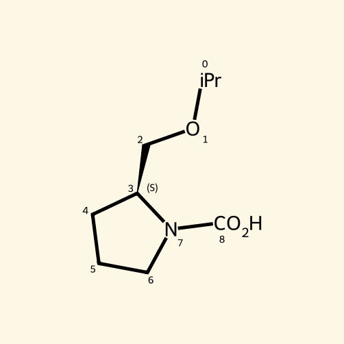 CC(C)OC[C@@H]1CCCN1C(=O)O